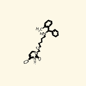 Cc1ccccc1C(NCCCCCOCn1ccc(=O)[nH]c1=O)c1ccccc1